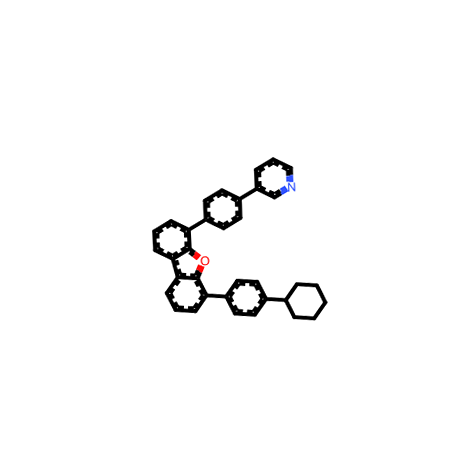 c1cncc(-c2ccc(-c3cccc4c3oc3c(-c5ccc(C6CCCCC6)cc5)cccc34)cc2)c1